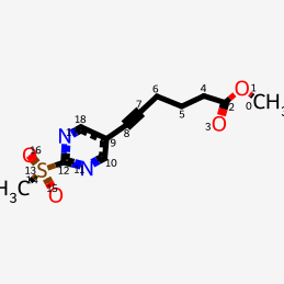 COC(=O)CCCC#Cc1cnc(S(C)(=O)=O)nc1